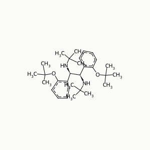 CC(C)(C)N[C@H](c1ccccc1OC(C)(C)C)[C@H](NC(C)(C)C)c1ccccc1OC(C)(C)C